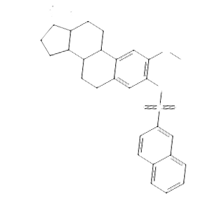 COc1cc2c(cc1OS(=O)(=O)c1ccc3ccccc3c1)CCC1C2CC[C@@]2(C)C1CC[C@@H]2O